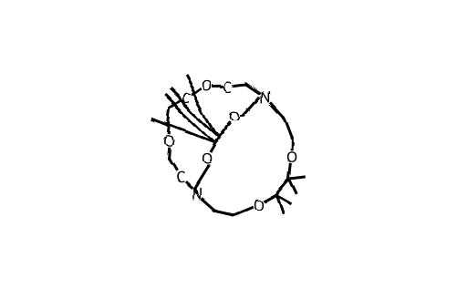 CC1(C)OCCN2CCOCCOCCN(CCOC1(C)C)CCOC(C)(C)C(C)(C)OCC2